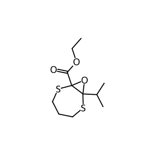 CCOC(=O)C12OC1(C(C)C)SCCCS2